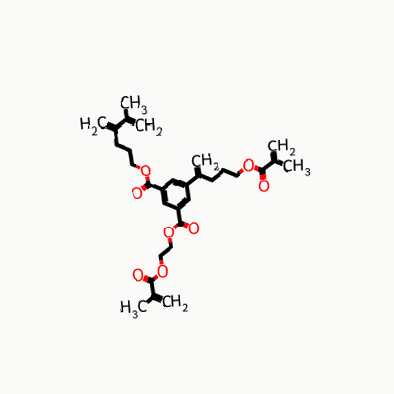 C=C(C)C(=C)CCCOC(=O)c1cc(C(=C)CCCOC(=O)C(=C)C)cc(C(=O)OCCOC(=O)C(=C)C)c1